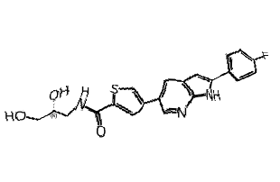 O=C(NC[C@@H](O)CO)c1cc(-c2cnc3[nH]c(-c4ccc(F)cc4)cc3c2)cs1